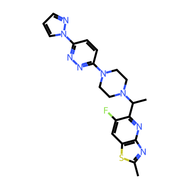 Cc1nc2nc(C(C)N3CCN(c4ccc(-n5cccn5)nn4)CC3)c(F)cc2s1